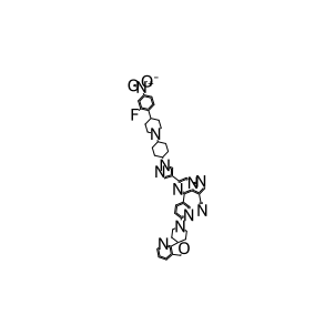 N#Cc1cnn2cc(-c3cnn([C@H]4CC[C@H](N5CCC(c6ccc([N+](=O)[O-])cc6F)CC5)CC4)c3)nc(-c3ccc(N4CCC5(CC4)OCc4cccnc45)nc3)c12